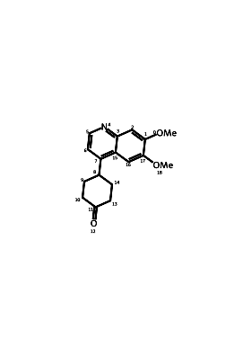 COc1cc2nccc(C3CCC(=O)CC3)c2cc1OC